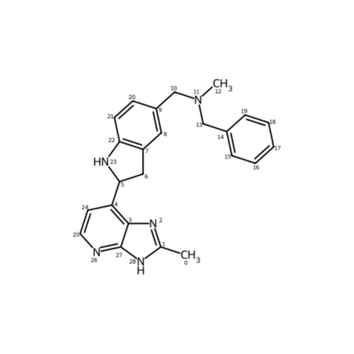 Cc1nc2c(C3Cc4cc(CN(C)Cc5ccccc5)ccc4N3)ccnc2[nH]1